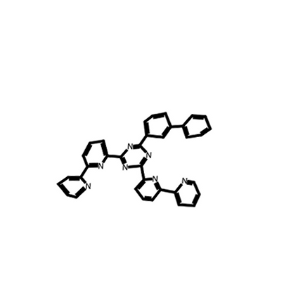 c1ccc(-c2cccc(-c3nc(-c4cccc(-c5ccccn5)n4)nc(-c4cccc(-c5ccccn5)n4)n3)c2)cc1